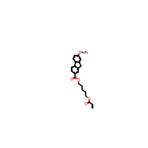 C=CC(=O)OCCCCCOC(=O)c1ccc2c(c1)Cc1cc(OCCC)ccc1-2